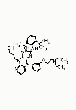 CCN(CC)CCOc1cccc(-c2c(NC(=O)Nc3c(C(C)C)cccc3C(C)C)c(=O)n(CCCO)c3ncccc23)c1